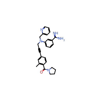 Cc1cc(C#CCN(Cc2ccccn2)c2cccc(C(=N)N)c2)ccc1C(=O)N1CCCC1